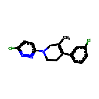 CC1=C(c2cccc(Cl)c2)CCN(c2ccc(Cl)nn2)C1